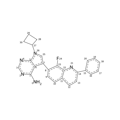 Nc1ncnc2c1c(-c1ccc3ccc(-c4ccccc4)nc3c1F)cn2C1CCC1